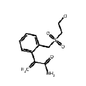 C=C(C(N)=O)c1ccccc1CS(=O)(=O)CCCl